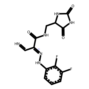 N=C/C(=N\Nc1cccc(F)c1F)C(=O)NCC1NC(=O)NC1=O